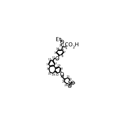 CCOC[C@@H](CC(=O)O)c1ccc(OCc2ccc3c(c2)-c2ccc(OCC4CCS(=O)(=O)CC4)cc2CCC3)cc1